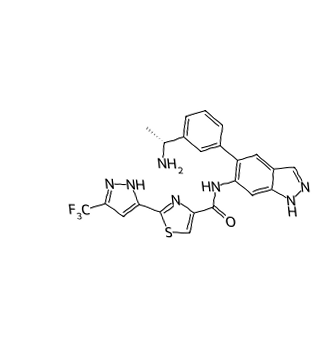 C[C@@H](N)c1cccc(-c2cc3cn[nH]c3cc2NC(=O)c2csc(-c3cc(C(F)(F)F)n[nH]3)n2)c1